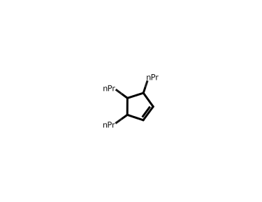 CCCC1C=CC(CCC)C1CCC